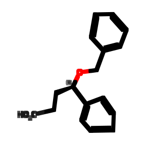 O=C(O)CC[C@@H](OCc1ccccc1)c1ccccc1